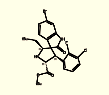 CC(C)(C)C[C@@H]1N[C@@H](C(=O)OC(C)(C)C)[C@H](c2cccc(Cl)c2F)C12C(=O)Nc1cc(Br)ccc12